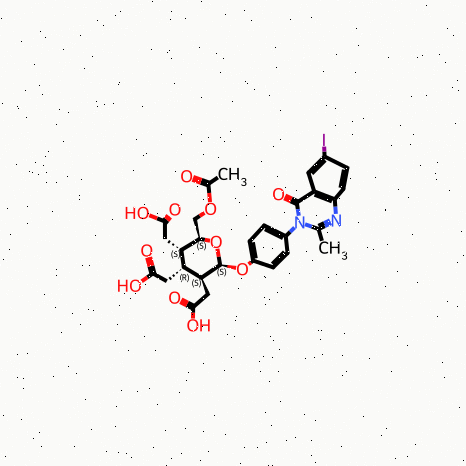 CC(=O)OC[C@H]1O[C@@H](Oc2ccc(-n3c(C)nc4ccc(I)cc4c3=O)cc2)[C@@H](CC(=O)O)[C@H](CC(=O)O)[C@@H]1CC(=O)O